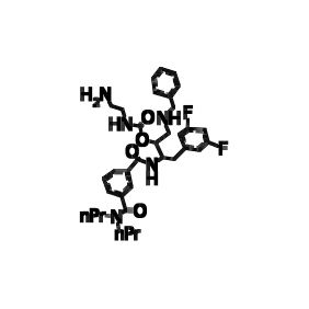 CCCN(CCC)C(=O)c1cccc(C(=O)NC(Cc2cc(F)cc(F)c2)C(CNCc2ccccc2)OC(=O)NCCN)c1